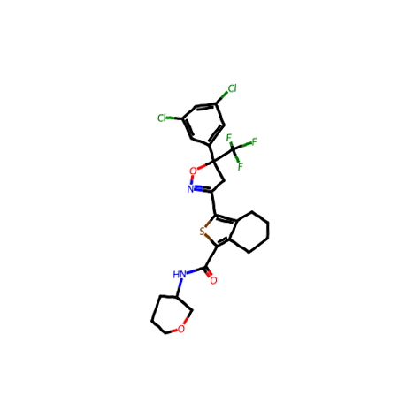 O=C(NC1CCCOC1)c1sc(C2=NOC(c3cc(Cl)cc(Cl)c3)(C(F)(F)F)C2)c2c1CCCC2